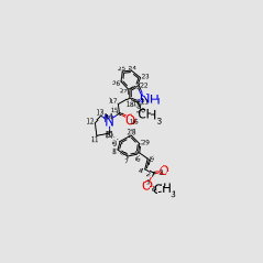 COC(=O)C=Cc1ccc([C@@H]2CCCN2C(=O)Cc2c(C)[nH]c3ccccc23)cc1